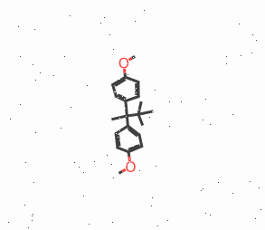 COc1ccc(C(C)(c2ccc(OC)cc2)C(C)(C)C)cc1